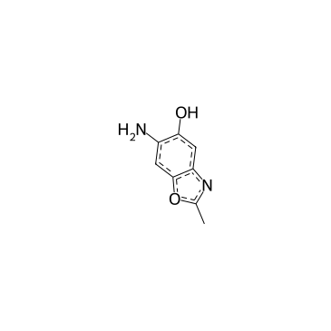 Cc1nc2cc(O)c(N)cc2o1